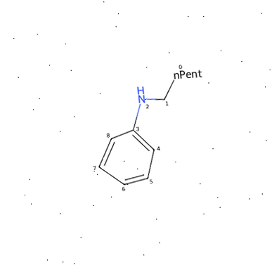 CCCCCCNc1cc[c]cc1